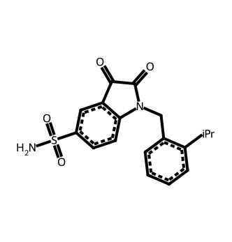 CC(C)c1ccccc1CN1C(=O)C(=O)c2cc(S(N)(=O)=O)ccc21